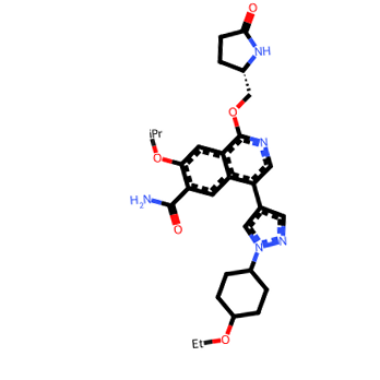 CCOC1CCC(n2cc(-c3cnc(OC[C@@H]4CCC(=O)N4)c4cc(OC(C)C)c(C(N)=O)cc34)cn2)CC1